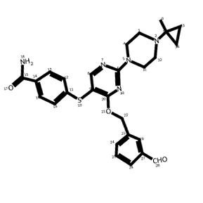 CC1(N2CCN(c3ncc(Sc4ccc(C(N)=O)cc4)c(OCc4cccc(C=O)c4)n3)CC2)CC1